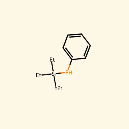 CCC[Si](CC)(CC)Pc1ccccc1